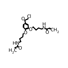 C=CC(=O)NCCCCOc1ccc(C(=O)CCl)cc1OCCCCNC(=O)C=C